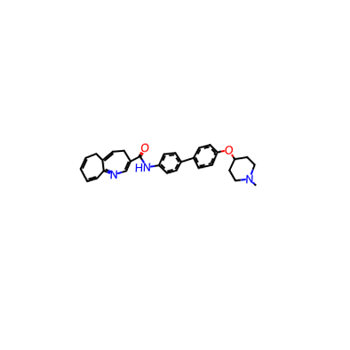 CN1CCC(Oc2ccc(-c3ccc(NC(=O)C4=CN=C5C=CC=CCC5=CC4)cc3)cc2)CC1